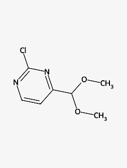 COC(OC)c1ccnc(Cl)n1